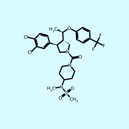 C[C@@H](Oc1ccc(C(F)(F)F)cc1)[C@@H]1CN(C(=O)N2CCC(N(C)S(C)(=O)=O)CC2)C[C@H]1c1ccc(Cl)c(Cl)c1